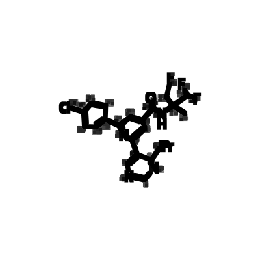 CC(C)c1ncncc1-c1cc(C(=O)NC(C)(CF)C(F)F)cc(-c2ccc(Cl)cc2)n1